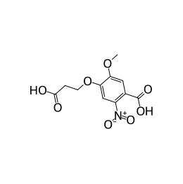 COc1cc(C(=O)O)c([N+](=O)[O-])cc1OCCC(=O)O